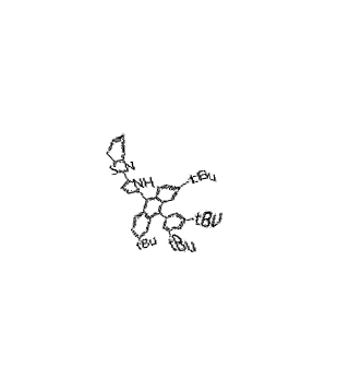 CC(C)(C)c1cc(-c2c3cc(C(C)(C)C)ccc3c(-c3ccc(-c4nc5ccccc5s4)[nH]3)c3ccc(C(C)(C)C)cc23)cc(C(C)(C)C)c1